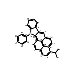 CC(C)c1ccc2ccc3c4c(cc5ccc1c2c53)-c1ccccc1B4c1ccccc1